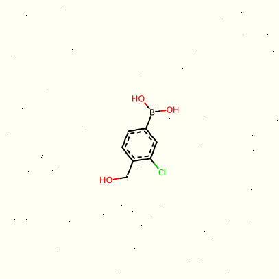 OCc1ccc(B(O)O)cc1Cl